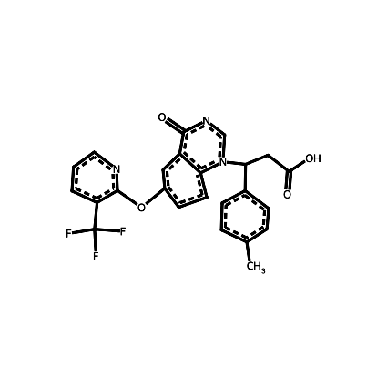 Cc1ccc(C(CC(=O)O)n2cnc(=O)c3cc(Oc4ncccc4C(F)(F)F)ccc32)cc1